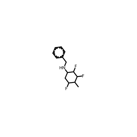 CC1C(F)CC(NCc2ccccc2)C(F)C1F